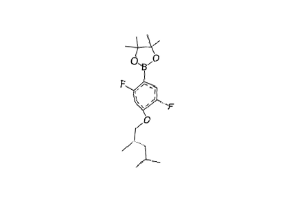 CC(C)CC(C)COc1cc(F)c(B2OC(C)(C)C(C)(C)O2)cc1F